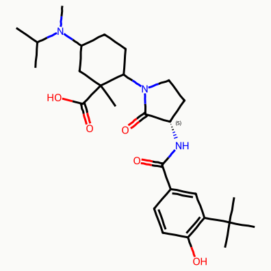 CC(C)N(C)C1CCC(N2CC[C@H](NC(=O)c3ccc(O)c(C(C)(C)C)c3)C2=O)C(C)(C(=O)O)C1